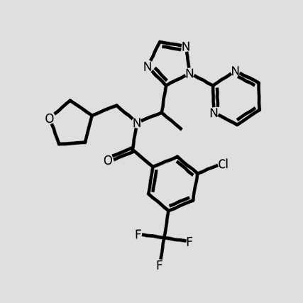 CC(c1ncnn1-c1ncccn1)N(CC1CCOC1)C(=O)c1cc(Cl)cc(C(F)(F)F)c1